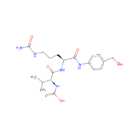 CC(C)[C@H](NC(=O)O)C(=O)N[C@@H](CCCNC(N)=O)C(=O)Nc1ccc(CO)cc1